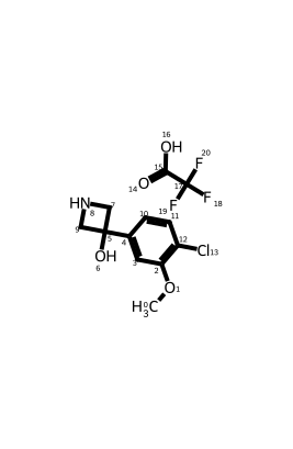 COc1cc(C2(O)CNC2)ccc1Cl.O=C(O)C(F)(F)F